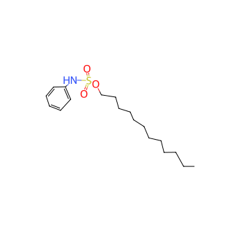 CCCCCCCCCCCCOS(=O)(=O)Nc1ccccc1